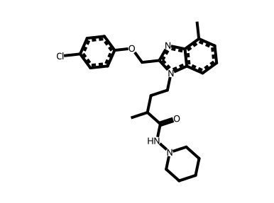 Cc1cccc2c1nc(COc1ccc(Cl)cc1)n2CCC(C)C(=O)NN1CCCCC1